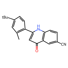 Cc1cc(C(C)(C)C)ccc1-c1cc(=O)c2cc(C#N)ccc2[nH]1